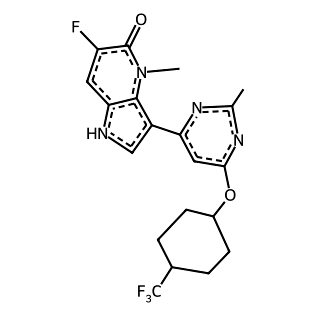 Cc1nc(OC2CCC(C(F)(F)F)CC2)cc(-c2c[nH]c3cc(F)c(=O)n(C)c23)n1